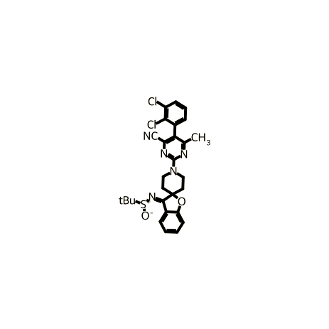 Cc1nc(N2CCC3(CC2)Oc2ccccc2/C3=N\[S+]([O-])C(C)(C)C)nc(C#N)c1-c1cccc(Cl)c1Cl